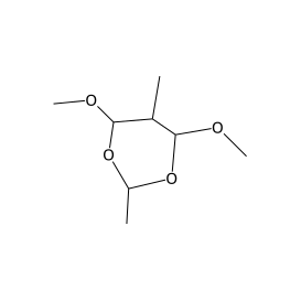 COC1OC(C)OC(OC)C1C